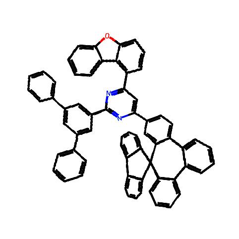 c1ccc(-c2cc(-c3ccccc3)cc(-c3nc(-c4ccc5c(c4)C4(c6ccccc6-c6ccccc6-5)c5ccccc5-c5ccccc54)cc(-c4cccc5oc6ccccc6c45)n3)c2)cc1